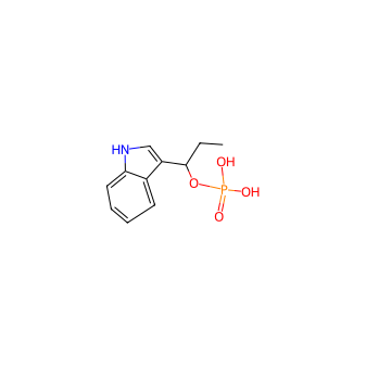 CCC(OP(=O)(O)O)c1c[nH]c2ccccc12